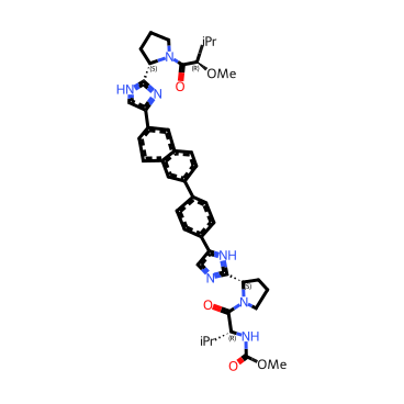 COC(=O)N[C@@H](C(=O)N1CCC[C@H]1c1ncc(-c2ccc(-c3ccc4cc(-c5c[nH]c([C@@H]6CCCN6C(=O)[C@H](OC)C(C)C)n5)ccc4c3)cc2)[nH]1)C(C)C